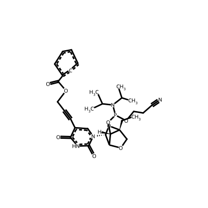 CC[C@]12COC([C@H](n3cc(C#CCOC(=O)c4ccccc4)c(=O)[nH]c3=O)O1)[C@@H]2OP(OCCC#N)N(C(C)C)C(C)C